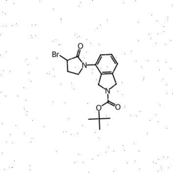 CC(C)(C)OC(=O)N1Cc2cccc(N3CCC(Br)C3=O)c2C1